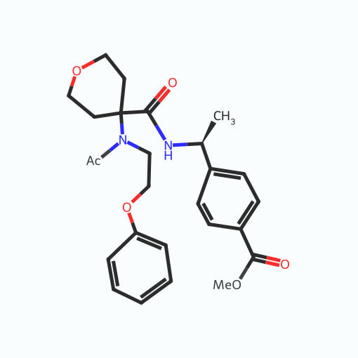 COC(=O)c1ccc([C@H](C)NC(=O)C2(N(CCOc3ccccc3)C(C)=O)CCOCC2)cc1